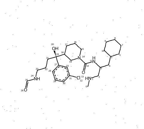 CNCC(CC1CCCCC1)NC(=O)N1CCCC([C@@](O)(CCCNC=O)c2cccc(Cl)c2)C1